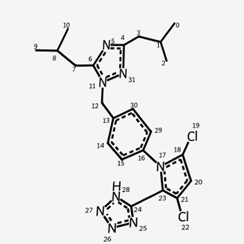 CC(C)Cc1nc(CC(C)C)n(Cc2ccc(-n3c(Cl)cc(Cl)c3-c3nnn[nH]3)cc2)n1